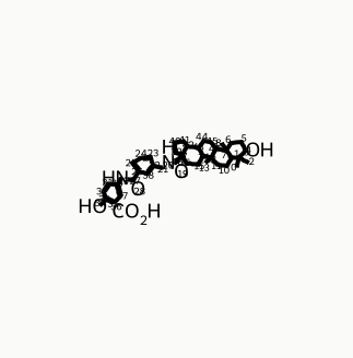 CC1(C)C(O)CCC2(C)C1CCC1(C)C3CCC4(C(=O)NCc5cccc(C(=O)Nc6ccc(O)c(C(=O)O)c6)c5)CCCC4C3CCC12